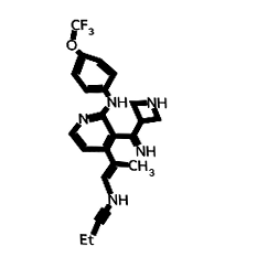 CCC#CN/C=C(\C)c1ccnc(Nc2ccc(OC(F)(F)F)cc2)c1C(=N)C1CNC1